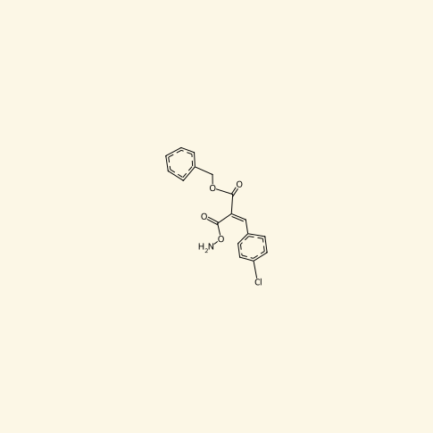 NOC(=O)/C(=C\c1ccc(Cl)cc1)C(=O)OCc1ccccc1